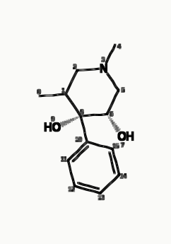 CC1CN(C)C[C@H](O)[C@@]1(O)c1ccccc1